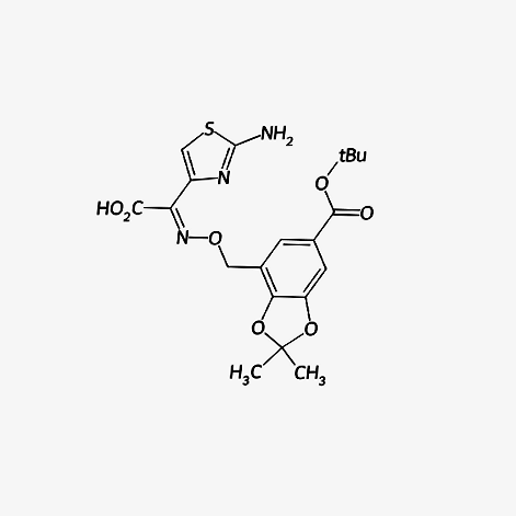 CC(C)(C)OC(=O)c1cc(CON=C(C(=O)O)c2csc(N)n2)c2c(c1)OC(C)(C)O2